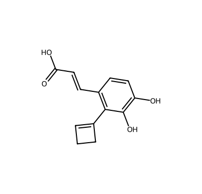 O=C(O)C=Cc1ccc(O)c(O)c1C1=CCC1